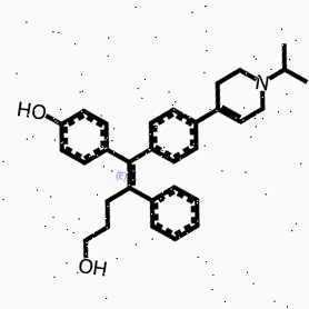 CC(C)N1CC=C(c2ccc(/C(=C(/CCCO)c3ccccc3)c3ccc(O)cc3)cc2)CC1